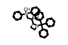 C[Si](C[C@@H](O)[C@@H]1CCN1C(c1ccccc1)(c1ccccc1)c1ccccc1)(c1ccccc1)c1ccccc1